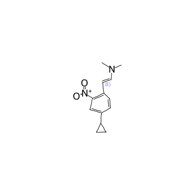 CN(C)/C=C/c1ccc(C2CC2)cc1[N+](=O)[O-]